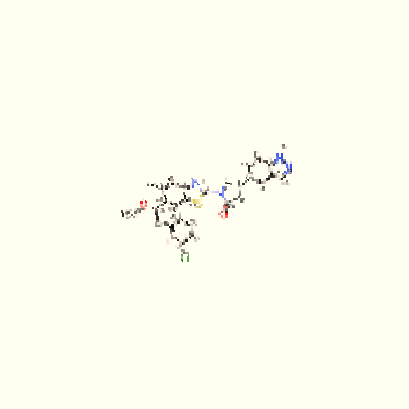 Cc1cc2nc(N3CC(c4ccc5c(cnn5C)c4)CC3=O)sc2c(-c2ccc(Cl)cc2)c1[C@@H](C)OC(C)(C)C